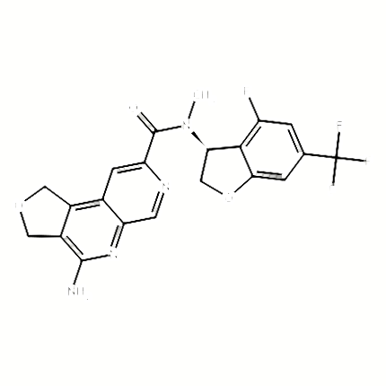 CN(C(=O)c1cc2c3c(c(N)nc2cn1)COC3)[C@@H]1COc2cc(C(F)(F)F)cc(F)c21